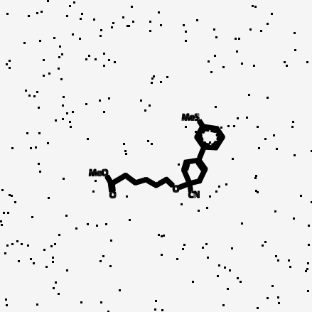 COC(=O)CCCCCOC1(C#N)C=CC(c2cccc(SC)c2)=CC1